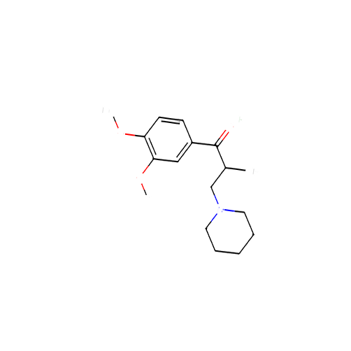 COc1ccc(C(=O)C(C)CN2CCCCC2)cc1OC.Cl